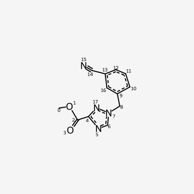 COC(=O)c1ncn(Cc2cccc(C#N)c2)n1